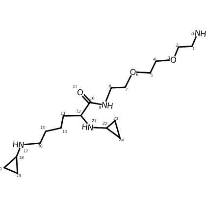 NCCOCCOCCNC(=O)C(CCCCNC1CC1)NC1CC1